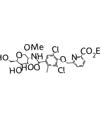 CCOC(=O)c1cccc(COc2c(Cl)cc(C(=O)N[C@H]3[C@@H](OC)O[C@H](CO)[C@@H](O)[C@@H]3O)c(C)c2Cl)n1